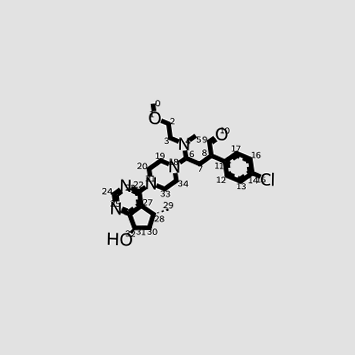 COCCN(C)C(CC(C=O)c1ccc(Cl)cc1)N1CCN(c2ncnc3c2[C@H](C)C[C@H]3O)CC1